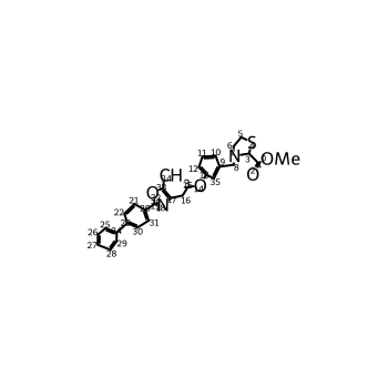 COC(=O)C1SCCN1Cc1cccc(OCCc2nc(-c3ccc(-c4ccccc4)cc3)oc2C)c1